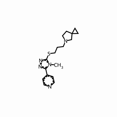 Cn1c(SCCCN2CCC3(CC3)C2)nnc1-c1ccncc1